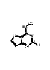 CCNc1nc(Cl)nc2ccoc12